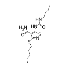 CCCCCSc1nsc(NC(=O)NCCCC)c1C(N)=O